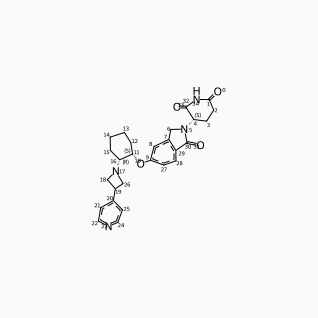 O=C1CC[C@H](N2Cc3cc(O[C@H]4CCCC[C@H]4N4CC(c5ccncc5)C4)ccc3C2=O)C(=O)N1